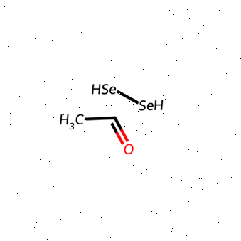 CC=O.[SeH][SeH]